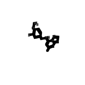 Cc1cc(NCc2ccc(OC(F)(F)F)c(F)c2)n2ncnc2n1